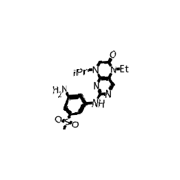 CCN1C(=O)CN(C(C)C)c2nc(Nc3cc(N)cc(S(C)(=O)=O)c3)ncc21